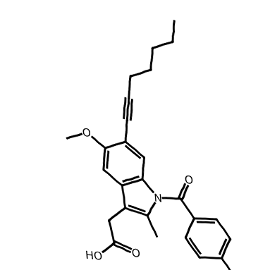 CCCCCC#Cc1cc2c(cc1OC)c(CC(=O)O)c(C)n2C(=O)c1ccc(Cl)cc1